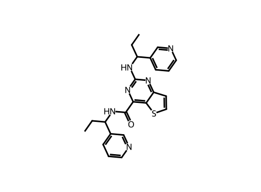 CCC(NC(=O)c1nc(NC(CC)c2cccnc2)nc2ccsc12)c1cccnc1